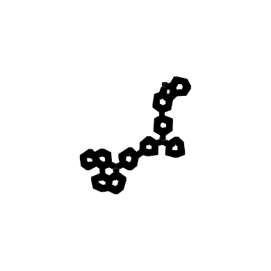 c1ccc(N(c2ccc(-c3ccc(N4c5ccc6ccccc6c5-c5cccc6cccc4c56)cc3)cc2)c2ccc(-c3ccc4sc5ccccc5c4c3)cc2)cc1